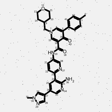 Cc1ccc(-c2cn(CC3CCOCC3)cc(C(=O)Nc3ccc(-c4cc(-c5cnn(C)c5)cnc4N)nc3)c2=O)cc1